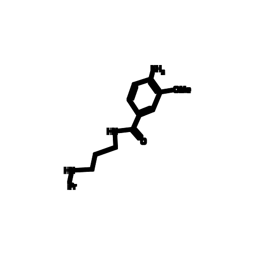 COc1cc(C(=O)NCCCNC(C)C)ccc1N